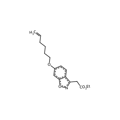 C=CCCCCOc1ccc2c(CC(=O)OCC)noc2c1